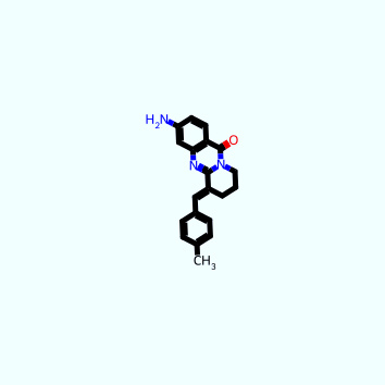 Cc1ccc(C=C2CCCn3c2nc2cc(N)ccc2c3=O)cc1